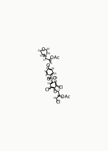 CC(=O)O[C@H](COc1ccc(S(=O)(=O)c2cc(Cl)c(OC[C@H](CCl)OC(C)=O)c(Cl)c2)cc1)CN1CCOCC1